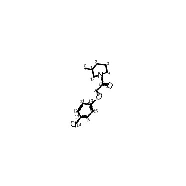 CC1CCCN(C(=O)COc2ccc(Cl)cc2)C1